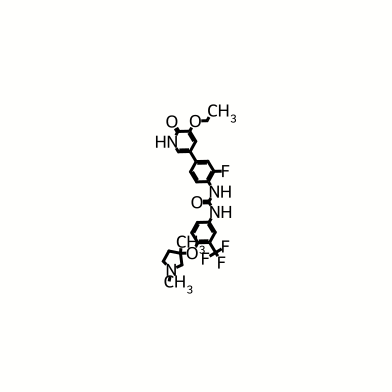 CCOc1cc(-c2ccc(NC(=O)Nc3ccc(OC4(C)CCN(C)C4)c(C(F)(F)F)c3)c(F)c2)c[nH]c1=O